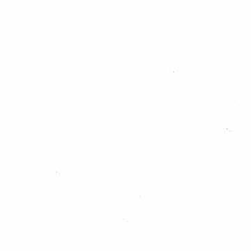 O=C(/C=C/C(=O)OC1CN(C(=O)C2CCc3[nH]cnc3C2)c2ccccc2O1)OC1CN(C(=O)C2CCc3[nH]cnc3C2)c2ccccc2O1